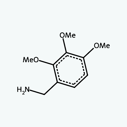 COc1ccc(CN)c(OC)c1OC